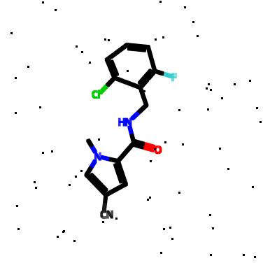 Cn1cc(C#N)cc1C(=O)NCc1c(F)cccc1Cl